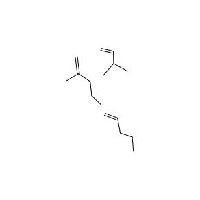 C=C(C)CCC.C=CC(C)C.C=CCCC